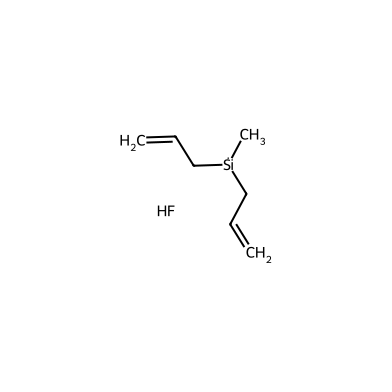 C=CC[Si](C)CC=C.F